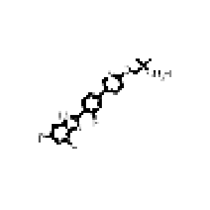 CC(C)(COc1ccc(-c2ccc(-c3nc4c(F)cc(F)cc4[nH]3)c(F)c2)cn1)C(=O)O